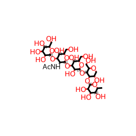 CC(=O)NC1C(O[C@@H]2OC(CO)[C@H](O)C(O)C2O)[C@H](O)C(CO)O[C@H]1OC1C(O)[C@H](O[C@@H]2C(CO)OCC(O)C2O[C@@H]2OC(C)[C@@H](O)C(O)C2O)OC(CO)[C@@H]1O